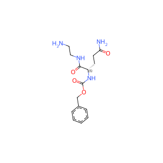 NCCNC(=O)[C@H](CCC(N)=O)NC(=O)OCc1ccccc1